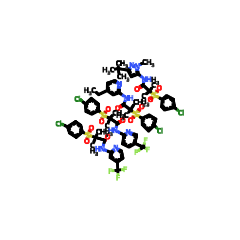 CC(C)(C(=O)Nc1cc(C(F)(F)F)ccn1)S(=O)(=O)c1ccc(Cl)cc1.CC(C)(C(=O)Nc1ccc(C(F)(F)F)cn1)S(=O)(=O)c1ccc(Cl)cc1.CCc1ccnc(NC(=O)C(C)(C)S(=O)(=O)c2ccc(Cl)cc2)c1.Cn1nc(C(C)(C)C)cc1NC(=O)C(C)(C)S(=O)(=O)c1ccc(Cl)cc1